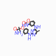 Cc1cnc(Nc2ccc(OC(C)(C)C(N)=O)cc2)nc1Nc1ccc2oc(=O)[nH]c2c1